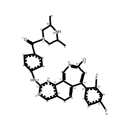 CC1CN(C(=O)c2ccc(Nc3ncc4c(n3)C3=CN=C(Cl)C=C(c5ccc(F)cc5F)C3=CC4)cc2)CC(C)N1